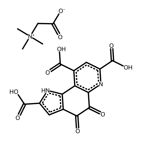 C[N+](C)(C)CC(=O)[O-].O=C(O)c1cc(C(=O)O)c2c(n1)C(=O)C(=O)c1cc(C(=O)O)[nH]c1-2